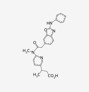 CC(CC(=O)O)c1ccc(N(C)C(=O)Cc2ccc3nc(Nc4ccccc4)oc3c2)nc1